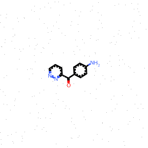 Nc1ccc(C(=O)c2cccnn2)cc1